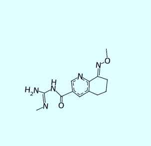 CN=C(N)NC(=O)c1cnc2c(c1)CCCC2=NOC